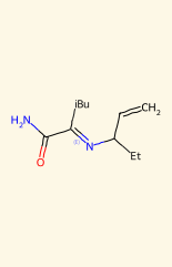 C=CC(CC)/N=C(/C(N)=O)C(C)CC